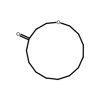 O=C1CCCCCCCCCCCOCC1